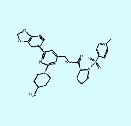 CC1CCN(c2nc(CNC(=O)[C@@H]3CCCN3S(=O)(=O)c3ccc(F)cc3)cc(-c3ccc4c(c3)OCO4)n2)CC1